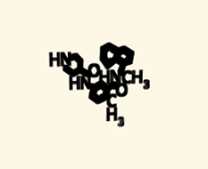 Cc1ccc(NC(=O)C2CCNCC2)cc1C(=O)N[C@H](C)c1cccc2ccccc12